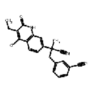 CCc1c(Cl)c2ccc(C(C)(C#N)Cc3cccc(C#N)c3)cc2[nH]c1=O